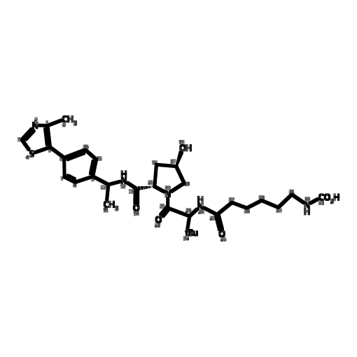 Cc1ncsc1-c1ccc(C(C)NC(=O)[C@@H]2C[C@@H](O)CN2C(=O)C(NC(=O)CCCCCNC(=O)O)C(C)(C)C)cc1